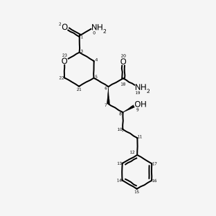 NC(=O)C1CC([C@H](C[C@@H](O)[CH]Cc2ccccc2)C(N)=O)CCO1